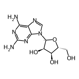 Nc1nc(N)c2ncn([C]3O[C@H](CO)[C@@H](O)[C@H]3O)c2n1